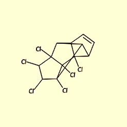 ClC1C(Cl)C2(Cl)C3C4C=CC5C3C1(Cl)C2(Cl)C54Cl